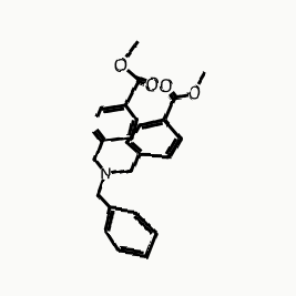 C=C(/C=C\C(=C/C)C(=O)OC)CN(Cc1ccccc1)Cc1ccc(C(=O)OC)cc1